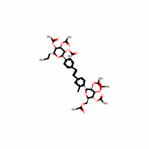 Cc1cc(/C=C/c2ccc([C@H]3O[C@H](CCC(C)(C)C)[C@@H](OC(=O)C(C)(C)C)[C@@H](OC(=O)C(C)(C)C)[C@@H]3OC(=O)C(C)(C)C)cc2)ccc1[C@H]1O[C@H](COC(=O)C(C)(C)C)[C@@H](OC(=O)C(C)(C)C)[C@H](OC(=O)C(C)(C)C)[C@@H]1OC(=O)C(C)(C)C